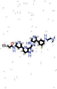 CN(C)CCNc1cc(F)cc(-c2cncc3[nH]c(-c4n[nH]c5ccc(-c6cncc(NC(=O)CC(C)(C)C)c6)nc45)nc23)c1